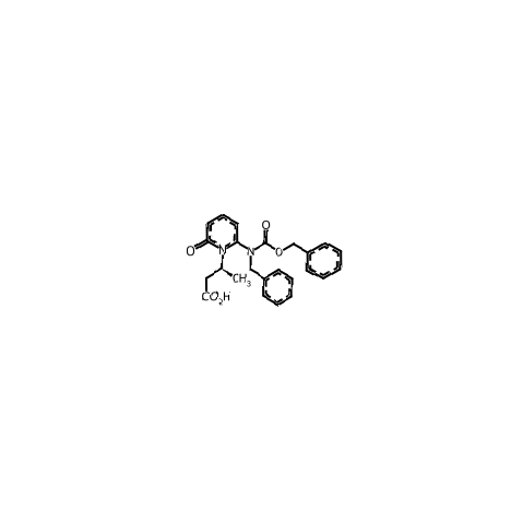 C[C@@H](CC(=O)O)n1c(N(Cc2ccccc2)C(=O)OCc2ccccc2)cccc1=O